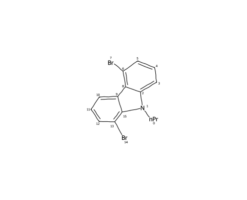 CCCn1c2cccc(Br)c2c2cccc(Br)c21